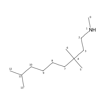 CNCCC(C)(C)CCCCC(C)C